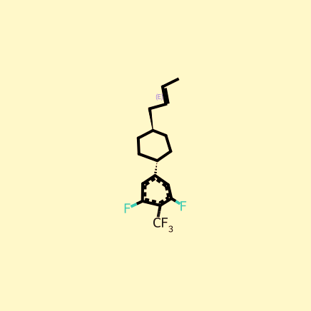 C/C=C/C[C@H]1CC[C@H](c2cc(F)c(C(F)(F)F)c(F)c2)CC1